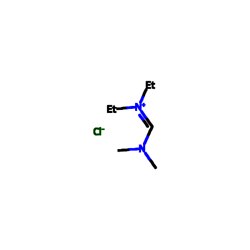 CC[N+](=CN(C)C)CC.[Cl-]